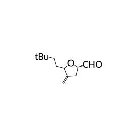 C=C1C[C@H](C=O)OC1CCC(C)(C)C